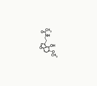 COc1ccc2occ(CCNC(C)=O)c2c1O